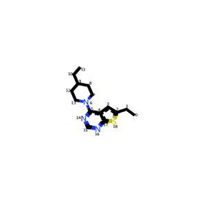 CCc1cc2c(N3CCC(CC)CC3)ncnc2s1